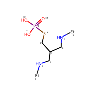 CCNCC(CNCC)CSP(=O)(O)O